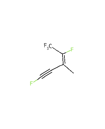 CC(C#CF)=C(F)C(F)(F)F